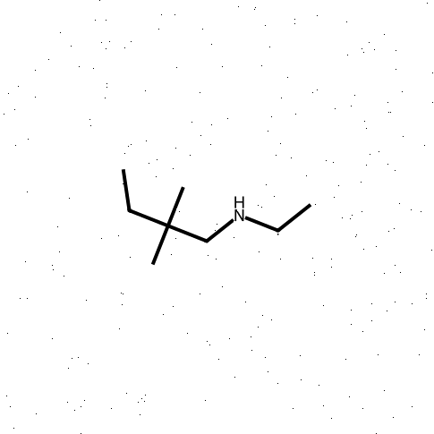 C[CH]NCC(C)(C)CC